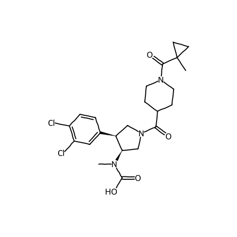 CN(C(=O)O)[C@@H]1CN(C(=O)C2CCN(C(=O)C3(C)CC3)CC2)C[C@@H]1c1ccc(Cl)c(Cl)c1